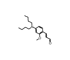 CCCCN(CCCC)c1ccc(C=CC=O)c(OC)c1